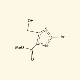 COC(=O)c1nc(Br)sc1CO